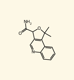 CC1(C)OC(C(N)=O)c2cnc3ccccc3c21